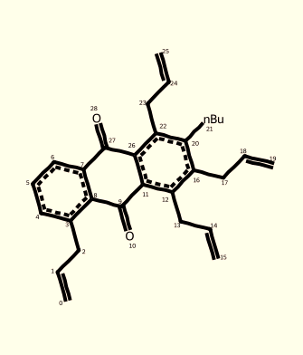 C=CCc1cccc2c1C(=O)c1c(CC=C)c(CC=C)c(CCCC)c(CC=C)c1C2=O